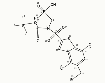 CC(C)(C)OC(=O)N(CP(=O)(O)O)S(=O)(=O)c1cc2c(Cl)c(CBr)cc(Cl)c2s1